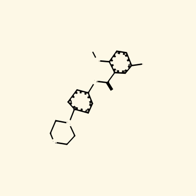 COc1ccc(Cl)cc1C(=O)Nc1ccc(N2CCNCC2)cc1